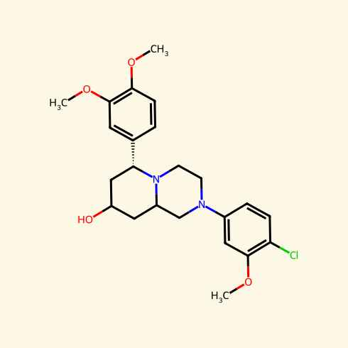 COc1cc(N2CCN3C(CC(O)C[C@@H]3c3ccc(OC)c(OC)c3)C2)ccc1Cl